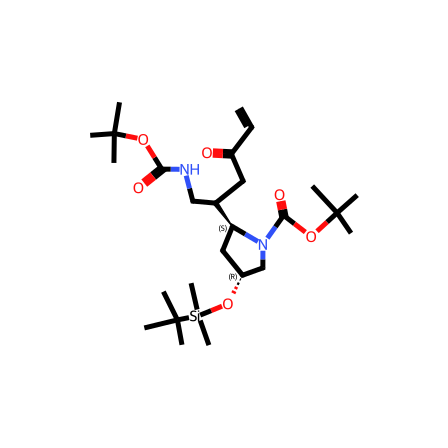 C=CC(=O)CC(CNC(=O)OC(C)(C)C)[C@@H]1C[C@@H](O[Si](C)(C)C(C)(C)C)CN1C(=O)OC(C)(C)C